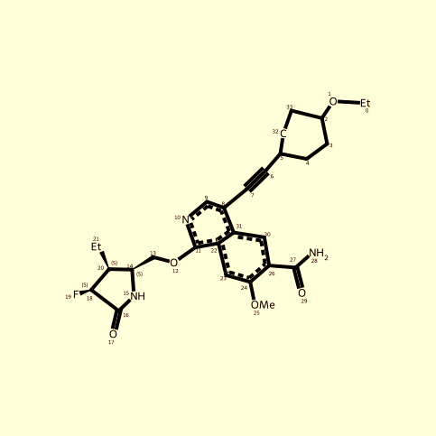 CCOC1CCC(C#Cc2cnc(OC[C@H]3NC(=O)[C@@H](F)[C@H]3CC)c3cc(OC)c(C(N)=O)cc23)CC1